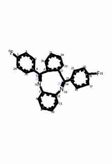 Fc1ccc(/C2=N/c3ccccc3/N=C(/c3ccc(F)cc3)c3ccccc32)cc1